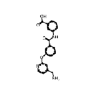 NCc1ccnc(Oc2cccc(C(=O)Nc3cccc(C(=O)O)c3)c2)c1